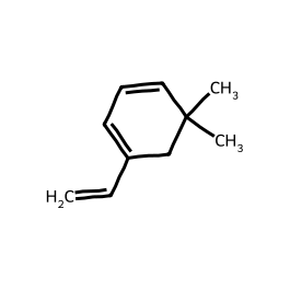 C=CC1=CC=CC(C)(C)C1